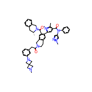 Cc1c(C(=O)N(c2ccccc2)c2cnn(C)c2)cc(-c2cc3c(cc2C(=O)N2Cc4ccccc4C[C@H]2C)CN(C(=O)Cc2cccc(N4CC5(CN(C)C5)C4)c2)CC3)n1C